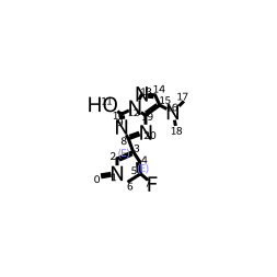 C=N/C=C(\C=C(/C)F)c1nc(O)n2ncc(N(C)C)c2n1